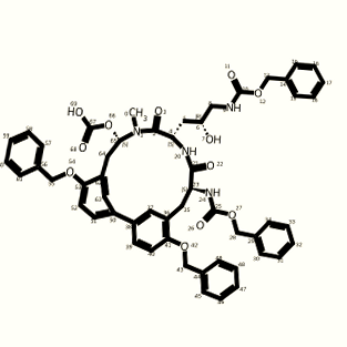 CN1C(=O)[C@H](C[C@@H](O)CNC(=O)OCc2ccccc2)NC(=O)[C@@H](NC(=O)OCc2ccccc2)Cc2cc(ccc2OCc2ccccc2)-c2ccc(OCc3ccccc3)c(c2)C[C@@H]1OC(=O)O